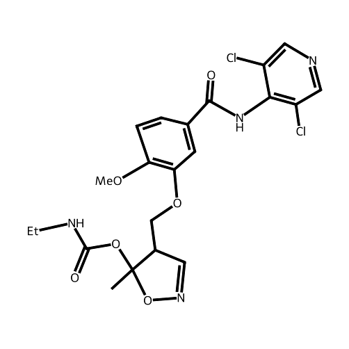 CCNC(=O)OC1(C)ON=CC1COc1cc(C(=O)Nc2c(Cl)cncc2Cl)ccc1OC